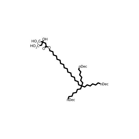 CCCCCCCCCCCCCCCCC(CCCCCCCCCCCCCCCC)(CCCCCCCCCCCCCCCC)CCCCCCCCCCCCCCCCCOC(=O)CC(O)(CC(=O)O)C(=O)O